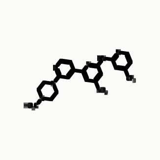 O=C(O)N1CCN(c2cc(-c3cc([N+](=O)[O-])cc(Nc4cc(C(F)(F)F)ccn4)n3)ccn2)CC1